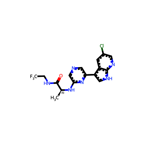 C[C@H](Nc1cncc(-c2c[nH]c3ncc(Cl)cc23)n1)C(=O)NCC(F)(F)F